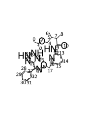 CC(C)OCC(C)C(C)C(=O)Nc1cccc(CO/N=C(\C2=NNNN2C)c2ccccc2)n1